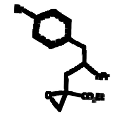 CCCC(Cc1ccc(Br)cc1)CC1(C(=O)OCC)CO1